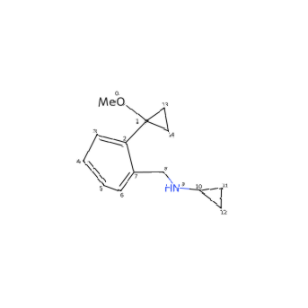 COC1(c2ccccc2CNC2CC2)CC1